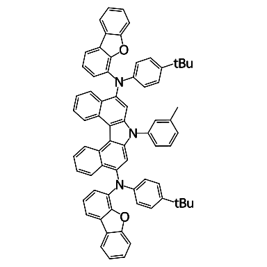 Cc1cccc(-n2c3cc(N(c4ccc(C(C)(C)C)cc4)c4cccc5c4oc4ccccc45)c4ccccc4c3c3c4ccccc4c(N(c4ccc(C(C)(C)C)cc4)c4cccc5c4oc4ccccc45)cc32)c1